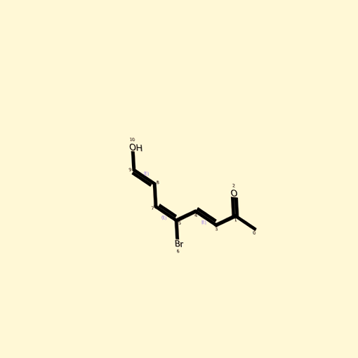 CC(=O)/C=C/C(Br)=C\C=C\O